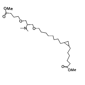 COC(=O)CCCCCC1CC1CCCCCCCCOCC(COCCCC(=O)OC)N(C)C